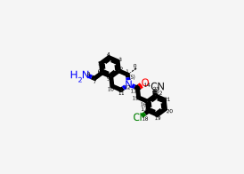 C[C@H]1c2cccc(CN)c2CCN1C(=O)Cc1c(Cl)cccc1C#N